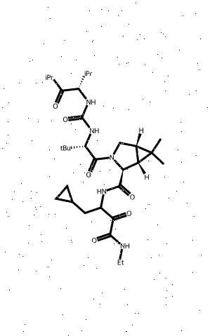 CCNC(=O)C(=O)C(CC1CC1)NC(=O)[C@@H]1[C@@H]2[C@H](CN1C(=O)[C@@H](NC(=O)N[C@H](C(=O)C(C)C)C(C)C)C(C)(C)C)C2(C)C